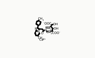 Cc1ccc(-c2nc3ccc(C)cn3c2CC(=O)N(C)C)cc1.O=C([O-])[C@@H](O)[C@@H](O)[C@H](O)[C@@H](O)C(=O)[O-].[Ca+2]